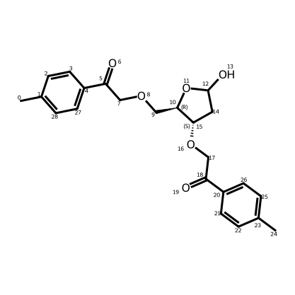 Cc1ccc(C(=O)COC[C@H]2OC(O)C[C@@H]2OCC(=O)c2ccc(C)cc2)cc1